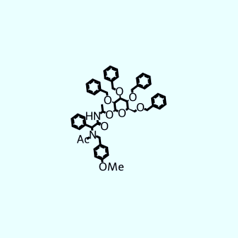 COc1ccc(CN(C(C)=O)C(C(=O)NC(C)O[C@@H]2O[C@H](COCc3ccccc3)[C@@H](OCc3ccccc3)[C@H](OCc3ccccc3)[C@H]2OCc2ccccc2)c2ccccc2)cc1